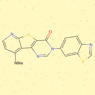 CNc1ccnc2sc3c(=O)n(-c4ccc5ncsc5c4)cnc3c12